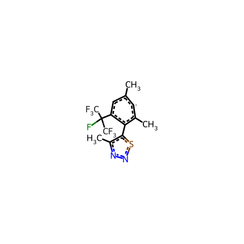 Cc1[c]c(C)c(-c2snnc2C)c(C(F)(C(F)(F)F)C(F)(F)F)c1